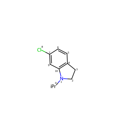 CC(C)N1CCc2ccc(Cl)cc21